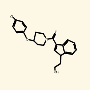 O=C(C1=CC(CCO)c2ccccc21)N1CCC(Oc2ccc(Cl)cc2)CC1